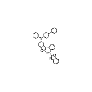 c1ccc(-c2ccc(N(c3ccccc3)c3ccc4oc5cc(-c6nc7ccccc7o6)c6ccccc6c5c4c3)cc2)cc1